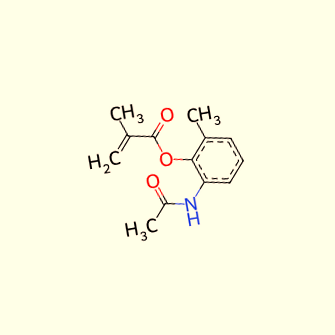 C=C(C)C(=O)Oc1c(C)cccc1NC(C)=O